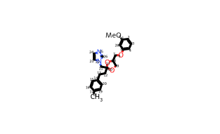 COc1cccc(OCC2COC(CCc3ccc(C)cc3)(Cn3ccnc3)O2)c1